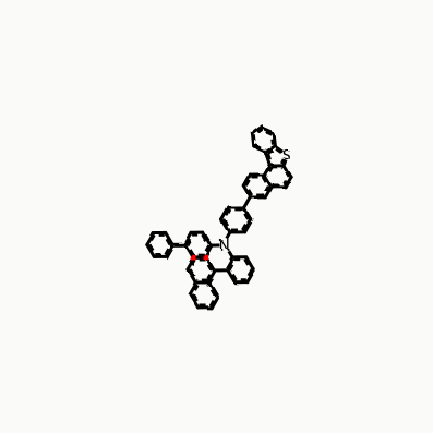 c1ccc(-c2ccc(N(c3ccc(-c4ccc5c(ccc6sc7ccccc7c65)c4)cc3)c3ccccc3-c3cccc4ccccc34)cc2)cc1